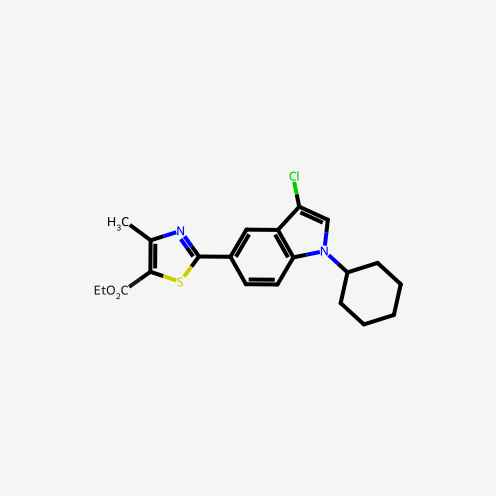 CCOC(=O)c1sc(-c2ccc3c(c2)c(Cl)cn3C2CCCCC2)nc1C